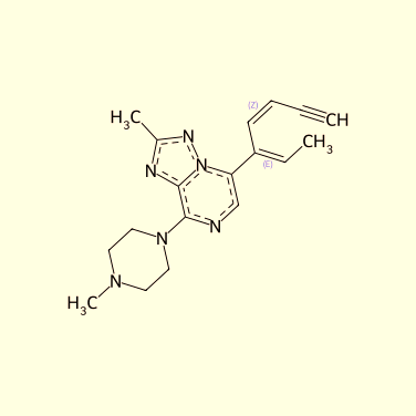 C#C/C=C\C(=C/C)c1cnc(N2CCN(C)CC2)c2nc(C)nn12